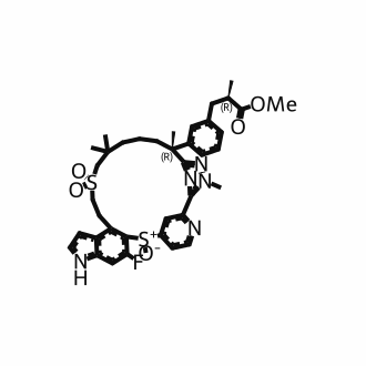 COC(=O)[C@H](C)Cc1cccc([C@@]2(C)CCCC(C)(C)CS(=O)(=O)CCc3c(c(F)cc4[nH]ccc34)[S+]([O-])c3ccnc(c3)-c3nc2nn3C)c1